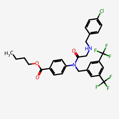 CCCCOC(=O)c1ccc(N(Cc2cc(C(F)(F)F)cc(C(F)(F)F)c2)C(=O)CNCc2ccc(Cl)cc2)cc1